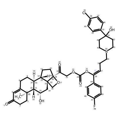 C[C@]12CCC(=O)C=C1CC[C@@H]1[C@@H]2[C@@H](O)C[C@]23CO[C@]2(C(=O)COC(=O)O/C(=C\CCN2CCC(O)(c4ccc(Cl)cc4)CC2)c2ccc(F)cc2)CC[C@@H]13